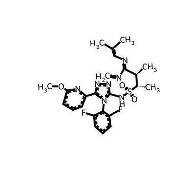 C=N/C(=N\C=C(C)C)[C@@H](C)[C@H](C)S(=O)(=O)Nc1nnc(-c2cccc(OC)n2)n1-c1c(F)cccc1F